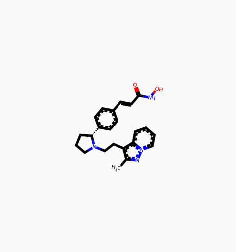 Cc1nn2ccccc2c1CCN1CCC[C@@H]1c1ccc(C=CC(=O)NO)cc1